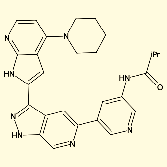 CC(C)C(=O)Nc1cncc(-c2cc3c(-c4cc5c(N6CCCCC6)ccnc5[nH]4)n[nH]c3cn2)c1